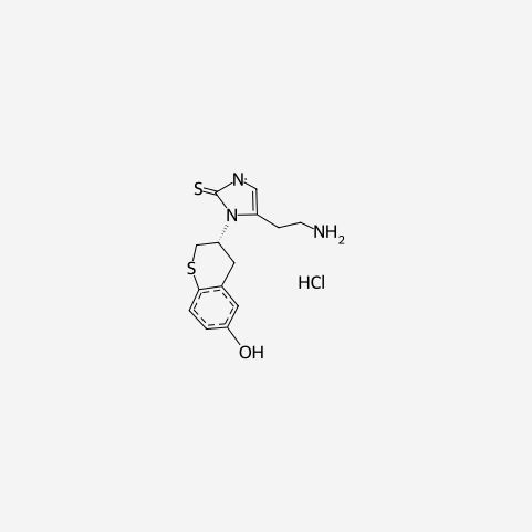 Cl.NCCC1=C[N]C(=S)N1[C@H]1CSc2ccc(O)cc2C1